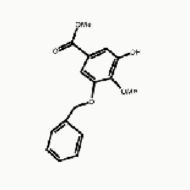 COC(=O)c1cc(O)c(OC)c(OCc2ccccc2)c1